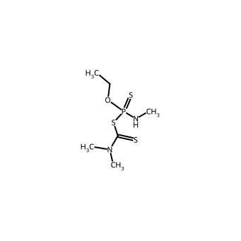 CCOP(=S)(NC)SC(=S)N(C)C